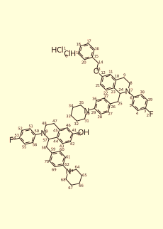 Cl.Cl.Fc1ccc(N2CCc3cc(OCc4ccccc4)ccc3C2Cc2ccc(N3CCCCC3)cc2)cc1.Oc1ccc2c(c1)CCN(c1ccc(F)cc1)C2Cc1ccc(N2CCCCC2)cc1